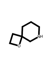 C1CNCC2(C1)CCO2